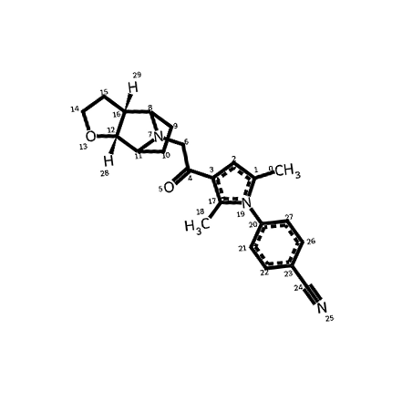 Cc1cc(C(=O)CN2C3CCC2[C@@H]2OCC[C@H]32)c(C)n1-c1ccc(C#N)cc1